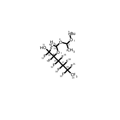 CCCCOC(C)OC(C)OC(F)(C(O)(F)F)C(F)(F)C(F)(F)C(F)(F)C(F)(F)F